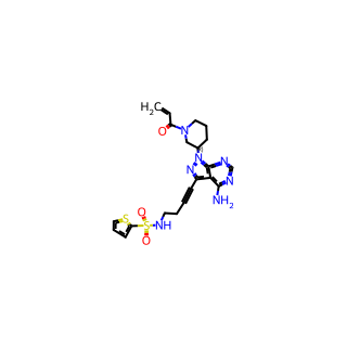 C=CC(=O)N1CCC[C@@H](n2nc(C#CCCNS(=O)(=O)c3cccs3)c3c(N)ncnc32)C1